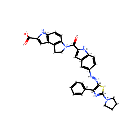 O=C(O)c1cc2c3c(ccc2[nH]1)N(C(=O)c1cc2cc(/N=N/c4sc(N5CCCC5)nc4-c4ccccc4)ccc2[nH]1)CC3